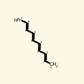 [CH2]C=CC=CC=CC=CCCC